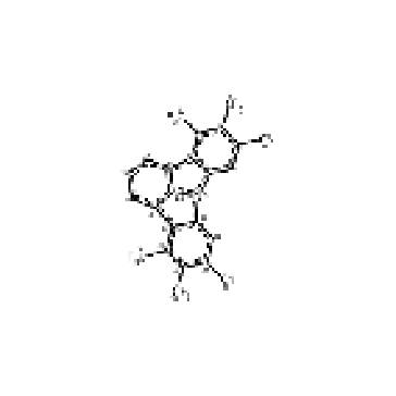 N#Cc1cc2c(c(C(F)(F)F)c1C(F)(F)F)c1cccc3c4c(C(F)(F)F)c(C(F)(F)F)c(C#N)cc4n2c13